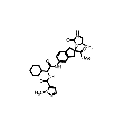 CNC(=O)C1(N2C(=O)NCC2C)Cc2ccc(NC(=O)[C@@H](NC(=O)c3ccnn3C)C3CCCCC3)cc2C1